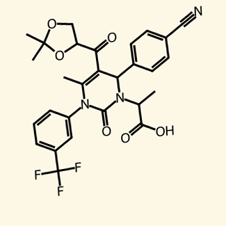 CC1=C(C(=O)C2COC(C)(C)O2)C(c2ccc(C#N)cc2)N(C(C)C(=O)O)C(=O)N1c1cccc(C(F)(F)F)c1